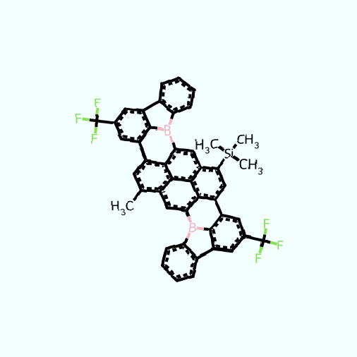 Cc1cc2c3c(cc4c([Si](C)(C)C)cc5c6c(cc1c3c46)B1c3ccccc3-c3cc(C(F)(F)F)cc-5c31)B1c3ccccc3-c3cc(C(F)(F)F)cc-2c31